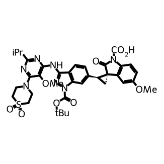 COc1ccc2c(c1)[C@]1(C[C@H]1c1ccc3c(Nc4nc(C(C)C)nc(N5CCS(=O)(=O)CC5)c4OC)nn(C(=O)OC(C)(C)C)c3c1)C(=O)N2C(=O)O